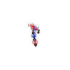 C=C(S/C(=C\C)C(C)(C)C)C(=O)N[C@@H](Cc1ccc(-c2ncc(C3=CCN(S(=O)(=O)c4ccc(C)cc4)CC3)cn2)cc1)C(=O)N[C@H](C)C(=O)O